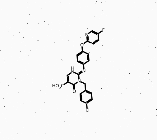 O=C(O)c1c[nH]/c(=N\c2ccc(Oc3ccc(F)cn3)cc2)n(Cc2ccc(Cl)cc2)c1=O